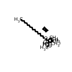 CCCCCCCCCCCCCCCCCCOC(=O)C1CC(C)(C)N(C)C(C)(C)C1NC(C)=O.c1cc2ccc1-2